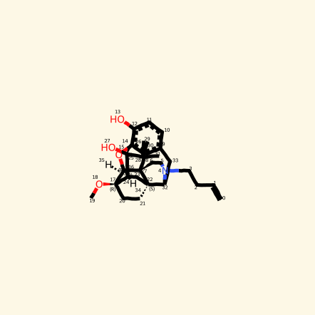 C=CCCN1CC[C@]23c4c5ccc(O)c4O[C@H]2[C@@]2(OC)CC[C@@]3(C[C@@H]2[C@](C)(O)C(C)(C)C)C1C5